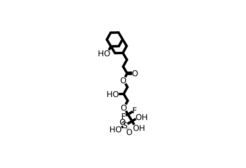 O=C(CCC1CC2CCCC(O)(C2)C1)OCC(O)COC(F)(F)C(O)(O)S(=O)(=O)O